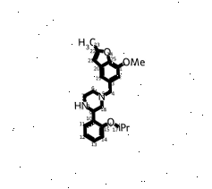 COc1cc(CN2CCNC(c3ccccc3OC(C)C)C2)cc2cc(C)oc12